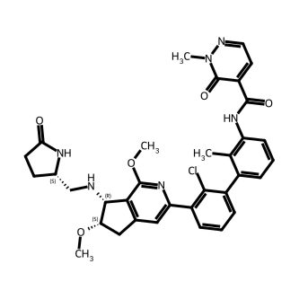 COc1nc(-c2cccc(-c3cccc(NC(=O)c4ccnn(C)c4=O)c3C)c2Cl)cc2c1[C@@H](NC[C@@H]1CCC(=O)N1)[C@@H](OC)C2